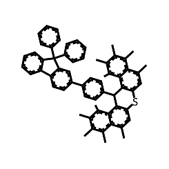 Cc1c(C)c(C)c2c3c(cc(C)c2c1C)Sc1cc(C)c2c(C)c(C)c(C)c(C)c2c1C3c1ccc(-c2ccc3c(c2)C(c2ccccc2)(c2ccccc2)c2ccccc2-3)cc1